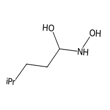 CC(C)CCC(O)NO